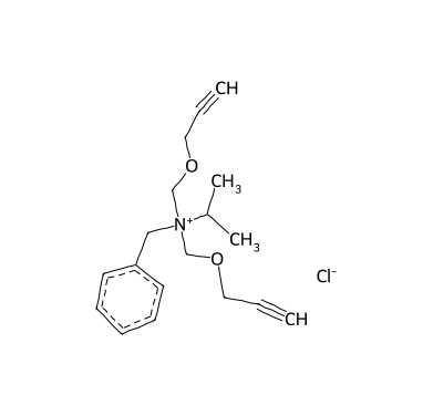 C#CCOC[N+](COCC#C)(Cc1ccccc1)C(C)C.[Cl-]